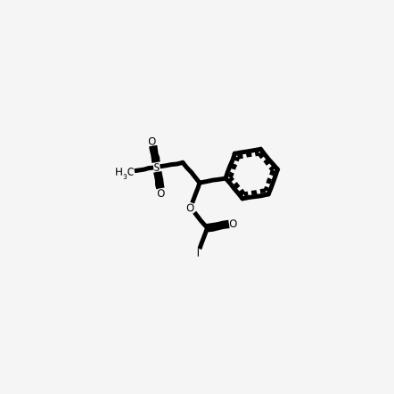 CS(=O)(=O)CC(OC(=O)I)c1ccccc1